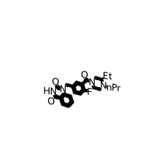 CCCN1CCN(C(=O)c2cc(Cn3c(=O)[nH]c(=O)c4ccccc43)ccc2F)C[C@@H]1CC